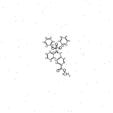 COC(=O)c1ccc(CN(c2ccccc2)P(=O)(Oc2ccccc2)Oc2ccccc2)cc1